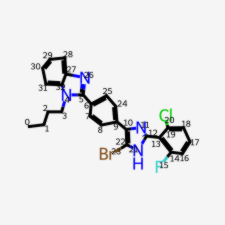 CCCCn1c(-c2ccc(-c3nc(-c4c(F)cccc4Cl)[nH]c3Br)cc2)nc2ccccc21